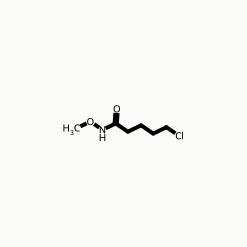 CONC(=O)CCCCCl